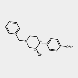 COc1ccc([C@H]2CCN(Cc3ccccc3)C[C@@H]2O)cc1